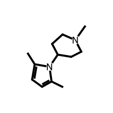 Cc1ccc(C)n1C1CCN(C)CC1